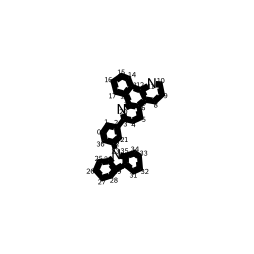 c1cc(-c2ccc3c4cccnc4c4ccccc4c3n2)cc(-n2c3ccccc3c3ccccc32)c1